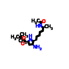 CC(=O)N[C@@H](C)CCCCC[C@@H]1N[C@@H](C(=O)OC(C)(C)C)C[C@H]1N